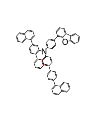 c1ccc(-c2ccc(-c3cccc4ccccc34)cc2N(c2ccc(-c3ccc(-c4cccc5ccccc45)cc3)cc2)c2ccc(-c3cccc4c3oc3ccccc34)cc2)cc1